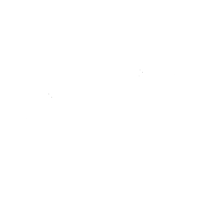 COc1ccc2nc(SCCS(=O)(=O)Nc3ccccc3OC)sc2c1